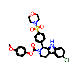 COc1ccc(OC(=O)N2CCc3c([nH]c4c3=CC(Cl)CC=4)C2c2ccc(S(=O)(=O)N3CCOCC3)cc2)cc1